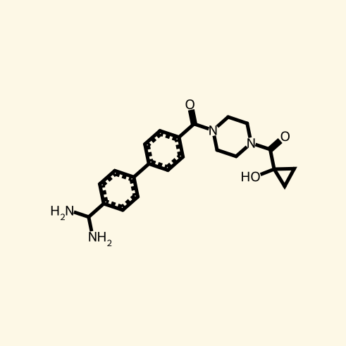 NC(N)c1ccc(-c2ccc(C(=O)N3CCN(C(=O)C4(O)CC4)CC3)cc2)cc1